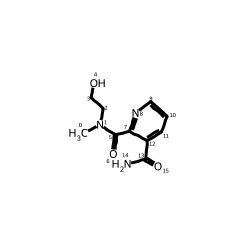 CN(CCO)C(=O)c1ncccc1C(N)=O